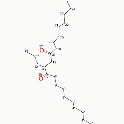 CCCCCCCCCC(=O)C(CCC)CC(=O)CCCCCCCC